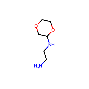 NCCNC1COCCO1